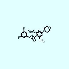 COc1nc(N2CCOCC2)cc(C)c1C(=O)NCc1cc(F)cc(F)c1